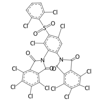 O=C1c2c(Cl)c(Cl)c(Cl)c(Cl)c2C(=O)N1c1cc(Cl)c(S(=O)(=O)c2c(Cl)cccc2Cl)c(Cl)c1N1C(=O)c2c(Cl)c(Cl)c(Cl)c(Cl)c2C1=O